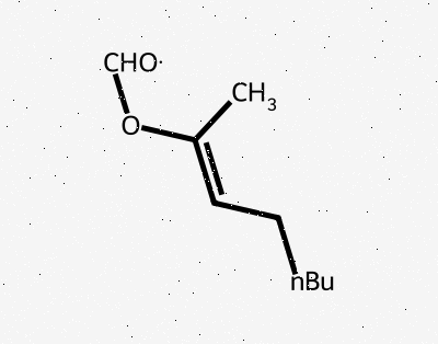 CCCCC/C=C(\C)O[C]=O